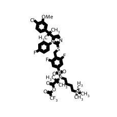 COc1cc(C(C)(C)c2cnc(SCc3c(F)cc(S(=O)(=O)N(CCCC[N+](C)(C)C)C(C)(C)C(=O)OC(=O)C(F)(F)F)cc3F)n2-c2ccc(F)cc2)ccc1Cl